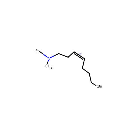 CC(C)N(C)CC/C=C\CCCC(C)(C)C